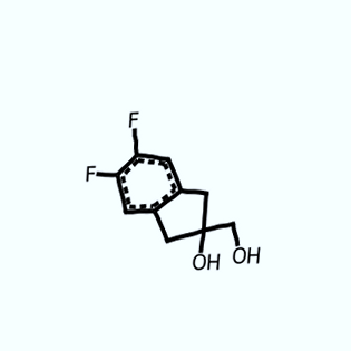 OCC1(O)Cc2cc(F)c(F)cc2C1